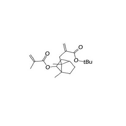 C=C(C)C(=O)OC1CC2CCC1(C)C2(C)CC(=C)C(=O)OC(C)(C)C